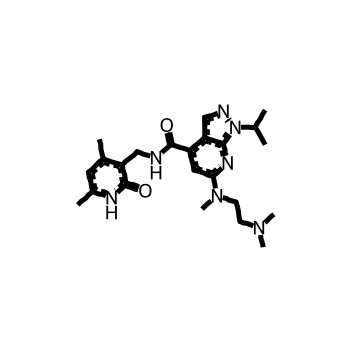 Cc1cc(C)c(CNC(=O)c2cc(N(C)CCN(C)C)nc3c2cnn3C(C)C)c(=O)[nH]1